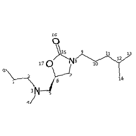 CCCN(C)C[C@@H]1CN(CCCC(C)C)C(=O)O1